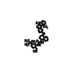 CN1CCC[C@@]1(C)c1nnc2ccc(O[C@@H]3CC[C@H](NC(=O)Nc4cc(C(C)(C)C)ccc4CO)c4ccccc43)cn12